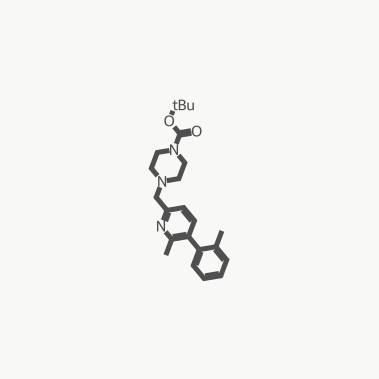 Cc1ccccc1-c1ccc(CN2CCN(C(=O)OC(C)(C)C)CC2)nc1C